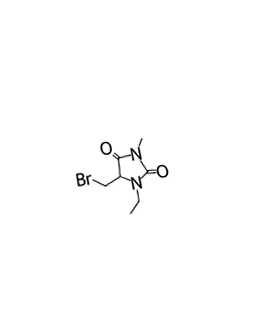 CCN1C(=O)N(C)C(=O)C1CBr